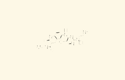 CCN(CCN(C)C)c1ncc(Cl)c(Nc2ccc3c(c2)CC(C(=O)NC)C(=O)N3C)n1